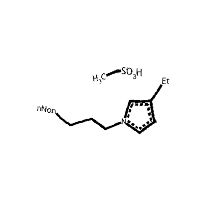 CCCCCCCCCCCCn1ccc(CC)c1.CS(=O)(=O)O